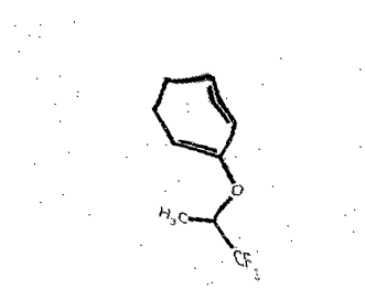 CC(OC1=CC[CH]C=C1)C(F)(F)F